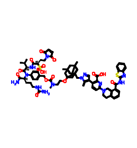 Cc1c(-c2ccc(N3CCc4cccc(C(=O)Nc5nc6ccccc6s5)c4C3)nc2C(=O)O)cnn1CC12CC3(C)CC(C)(C1)CC(OCCN(C)C(=O)OCc1ccc(N(C(=O)[C@@H](NC(=O)[C@H](CCN4C(=O)C=CC4=O)S(=O)(=O)O)C(C)C)[C@@H](CCCNC(N)=O)C(N)=O)cc1)(C3)C2